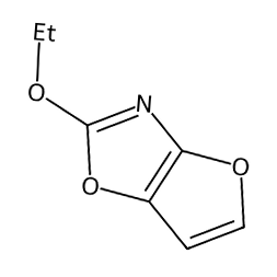 CCOc1nc2occc2o1